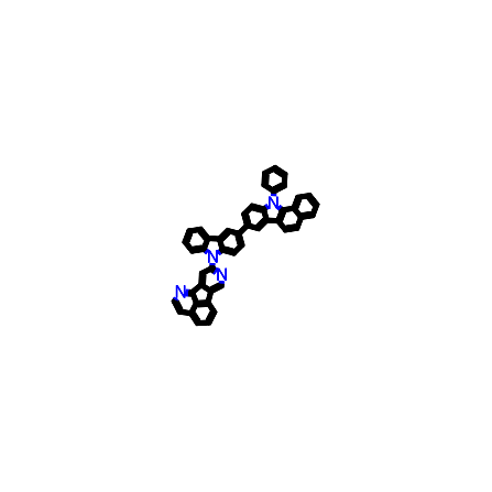 c1ccc(-n2c3ccc(-c4ccc5c(c4)c4ccccc4n5-c4cc5c(cn4)-c4cccc6ccnc-5c46)cc3c3ccc4ccccc4c32)cc1